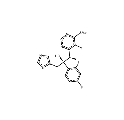 CSc1ncnc([C@@H](C)[C@@](O)(Cn2cncn2)c2ccc(F)cc2F)c1F